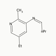 CCC/C=N\c1cc(CC)cnc1C